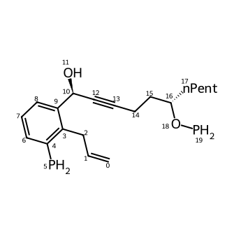 C=CCc1c(P)cccc1[C@@H](O)C#CCC[C@H](CCCCC)OP